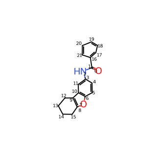 O=C(Nc1ccc2oc3c(c2c1)CCCC3)c1ccccc1